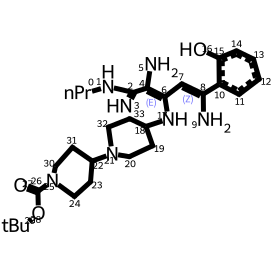 CCCNC(=N)/C(N)=C(/C=C(\N)c1ccccc1O)NC1CCN(C2CCN(C(=O)OC(C)(C)C)CC2)CC1